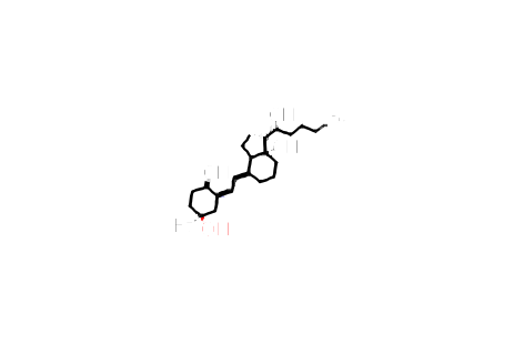 C=C1CC[C@@](O)(CC)C/C1=C/C=C1CCC[C@@]2(C)C1CC[C@@H]2[C@H](C)CCCC(C)C